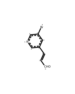 O=C/C=C/c1cncc(Br)c1